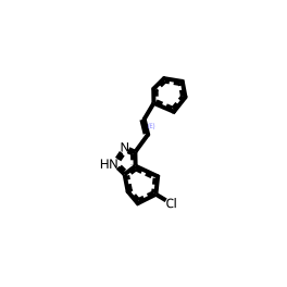 Clc1ccc2[nH]nc(/C=C/c3ccccc3)c2c1